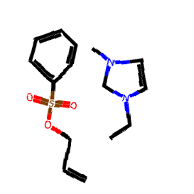 C=CCOS(=O)(=O)c1ccccc1.CCN1C=CN(C)C1